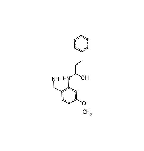 COc1ccc(C[NH])c(NC(O)CCc2ccccc2)c1